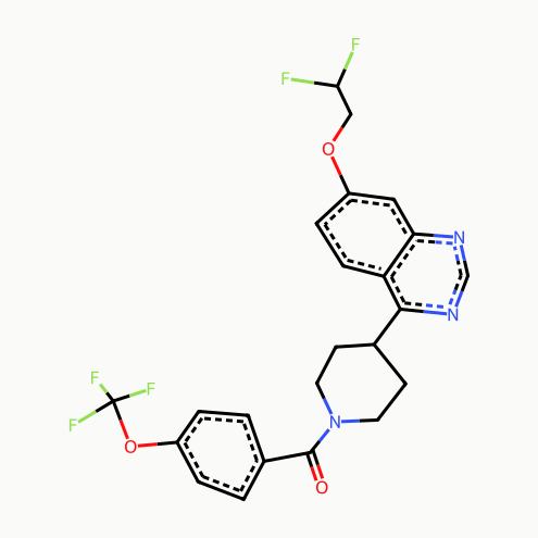 O=C(c1ccc(OC(F)(F)F)cc1)N1CCC(c2ncnc3cc(OCC(F)F)ccc23)CC1